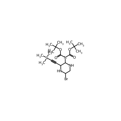 CC(C)(C)OC(=O)N(C(=O)OC(C)(C)C)C1NCC(Br)NC1C#C[Si](C)(C)C